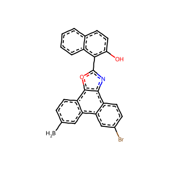 Bc1ccc2c(c1)c1cc(Br)ccc1c1nc(-c3c(O)ccc4ccccc34)oc21